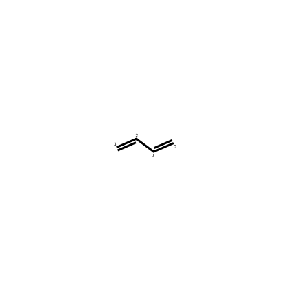 [CH]=C[C]=C